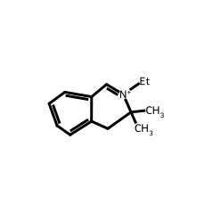 CC[N+]1=Cc2ccccc2CC1(C)C